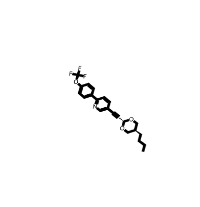 CCCC[C@H]1CO[C@H](C#Cc2ccc(-c3ccc(OC(F)(F)F)cc3)nc2)OC1